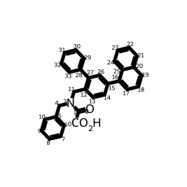 O=C(O)C(=O)N(Cc1ccccc1)Cc1ccc(-c2cccc3ccccc23)cc1-c1ccccc1